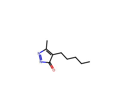 CCCCCC1=C(C)N=NC1=O